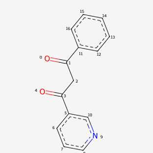 O=C(CC(=O)c1cccnc1)c1ccccc1